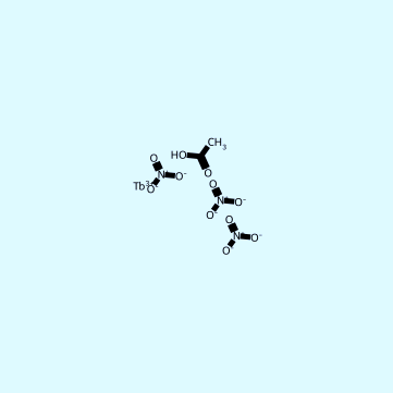 CC(=O)O.O=[N+]([O-])[O-].O=[N+]([O-])[O-].O=[N+]([O-])[O-].[Tb+3]